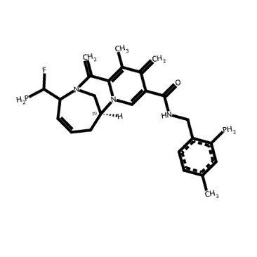 C=C1C(C(=O)NCc2ccc(C)cc2P)=CN2C(=C1C)C(=C)N1C[C@@H]2CC=CC1C(F)P